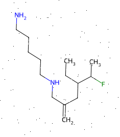 C=C(CNCCCCCN)CC(CC)C(C)F